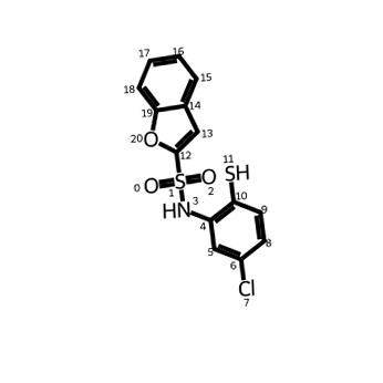 O=S(=O)(Nc1cc(Cl)ccc1S)c1cc2ccccc2o1